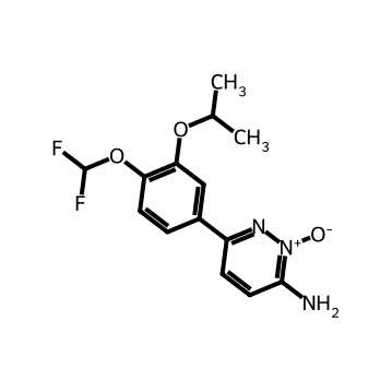 CC(C)Oc1cc(-c2ccc(N)[n+]([O-])n2)ccc1OC(F)F